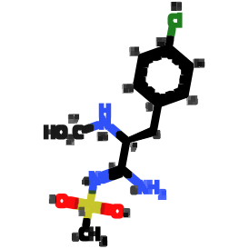 CS(=O)(=O)/N=C(\N)[C@H](Cc1ccc(Cl)cc1)NC(=O)O